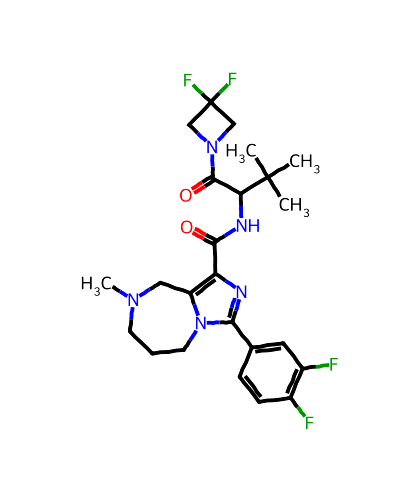 CN1CCCn2c(-c3ccc(F)c(F)c3)nc(C(=O)NC(C(=O)N3CC(F)(F)C3)C(C)(C)C)c2C1